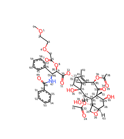 COCCOCC(=O)O[C@@H](C(=O)O[C@H]1C[C@@]2(O)[C@@H](O)[C@@H]3[C@]4(OC(C)=O)CO[C@@H]4C[C@H](O)[C@@]3(C)C(=O)[C@H](OC(C)=O)C(=C1C)C2(C)C)[C@@H](NC(=O)c1ccccc1)c1ccccc1